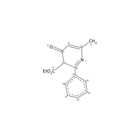 CCOC(=O)C1C(=O)C=C(C)N=C1c1ccccc1